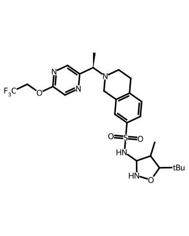 CC1C(NS(=O)(=O)c2ccc3c(c2)CN([C@H](C)c2cnc(OCC(F)(F)F)cn2)CC3)NOC1C(C)(C)C